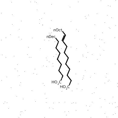 CCCCCCCCC=CCCCCCCCC(=O)O.CCCCCCCCCCCCCCCCCC(=O)O